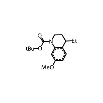 CCC1CCN(C(=O)OC(C)(C)C)c2cc(OC)ccc21